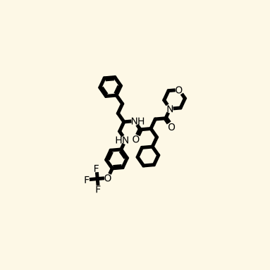 O=C(NC(CCc1ccccc1)CNc1ccc(OC(F)(F)F)cc1)C(CC(=O)N1CCOCC1)CC1CCCCC1